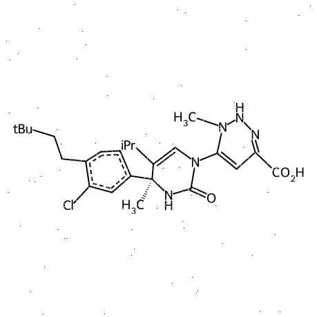 CC(C)C1=CN(C2=CC(C(=O)O)=NNN2C)C(=O)N[C@@]1(C)c1ccc(CCC(C)(C)C)c(Cl)c1